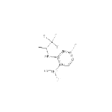 CC(Nc1cc(F)ccc1[N+](=O)[O-])C(F)(F)F